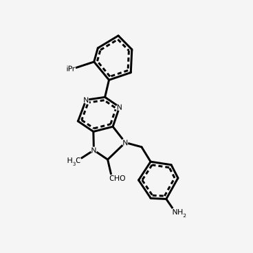 CC(C)c1ccccc1-c1ncc2c(n1)N(Cc1ccc(N)cc1)C(C=O)N2C